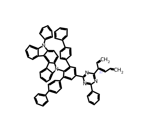 C=C/C=C(\C=C)c1nc(-c2ccccc2)nc(-c2cc(-c3ccc(-c4ccccc4)cc3)c(-n3c4ccccc4c4c5c6ccccc6n(-c6ccccc6)c5ccc43)c(-c3ccc(-c4ccccc4)cc3)c2)n1